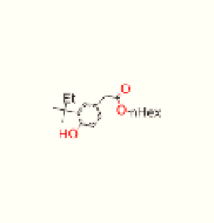 CCCCCCOC(=O)Cc1ccc(O)c(C(C)(C)CC)c1